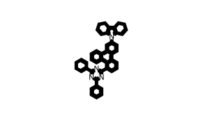 C1=CC(c2nc(-c3ccccc3)nc(-c3cccc4c5ccc(-n6c7c(c8c6C=CCC8)CCC=C7)cc5c5ccccc5c34)n2)=CCC1